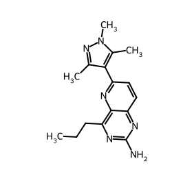 CCCc1nc(N)nc2ccc(-c3c(C)nn(C)c3C)nc12